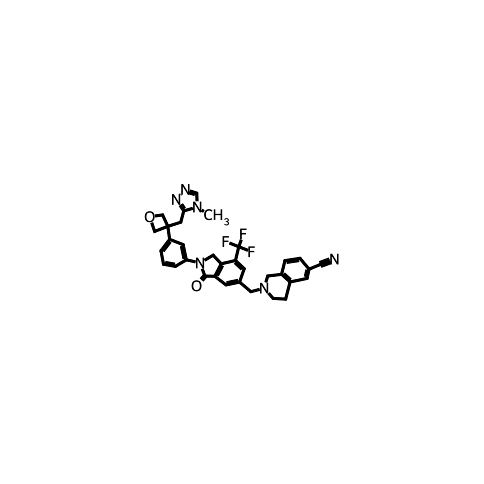 Cn1cnnc1CC1(c2cccc(N3Cc4c(cc(CN5CCc6cc(C#N)ccc6C5)cc4C(F)(F)F)C3=O)c2)COC1